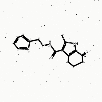 Cc1[nH]c2c(c1C(=O)NCCc1ccccn1)CCCC2=O